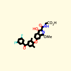 COc1nc(C(=O)NCC(=O)O)c(O)c2ccc(Oc3c(C)cc(C(=O)c4cc(F)cc(F)c4)cc3C)cc12